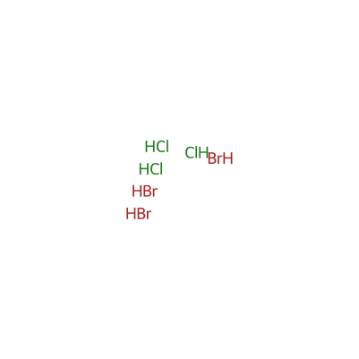 Br.Br.Br.Cl.Cl.Cl